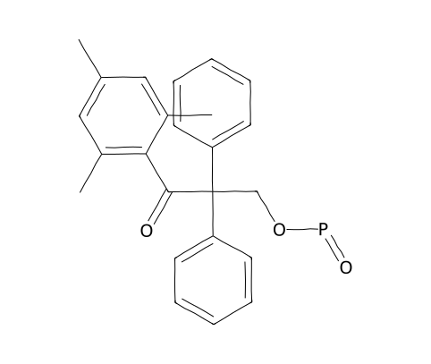 Cc1cc(C)c(C(=O)C(COP=O)(c2ccccc2)c2ccccc2)c(C)c1